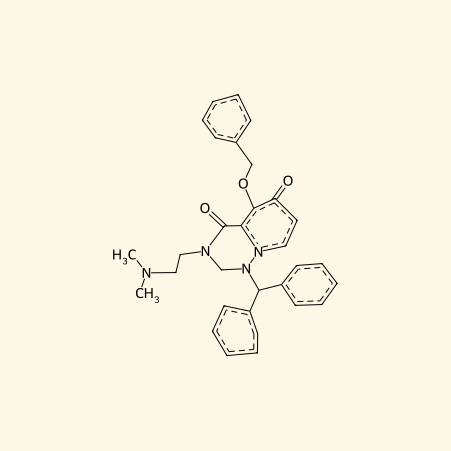 CN(C)CCN1CN(C(c2ccccc2)c2ccccc2)n2ccc(=O)c(OCc3ccccc3)c2C1=O